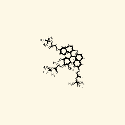 COc1cc(C2c3c(ccc4cc(OCC(=O)OC(C)(C)C)ccc34)Oc3ccc4cc(OCC(=O)OC(C)(C)C)ccc4c32)cc(C)c1OCC(=O)OC(C)(C)C